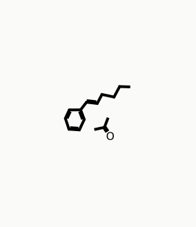 CC(C)=O.CCCCC=Cc1ccccc1